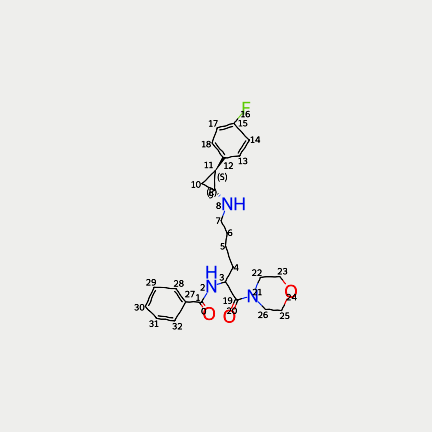 O=C(NC(CCCCN[C@@H]1C[C@H]1c1ccc(F)cc1)C(=O)N1CCOCC1)c1ccccc1